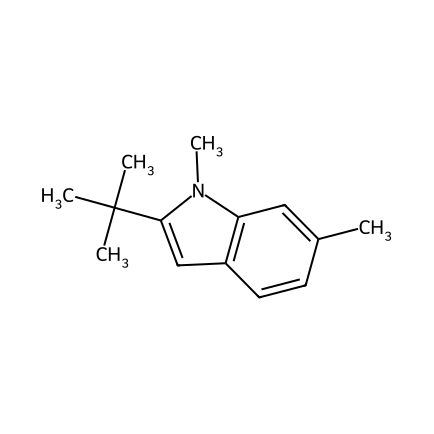 Cc1ccc2cc(C(C)(C)C)n(C)c2c1